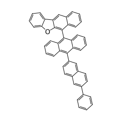 c1ccc(-c2ccc3cc(-c4c5ccccc5c(-c5c6ccccc6cc6c5oc5ccccc56)c5ccccc45)ccc3c2)cc1